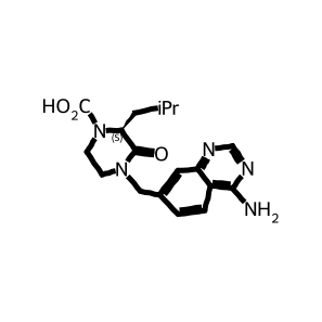 CC(C)C[C@H]1C(=O)N(Cc2ccc3c(N)ncnc3c2)CCN1C(=O)O